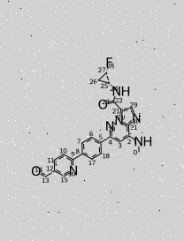 CNc1cc(-c2ccc(-c3ccc(C=O)cn3)cc2)nn2c(C(=O)N[C@@H]3C[C@@H]3F)cnc12